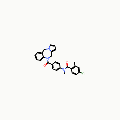 Cc1cc(Cl)ccc1C(=O)N(C)c1ccc(C(=O)N2Cc3cccn3Cc3ccccc32)cc1